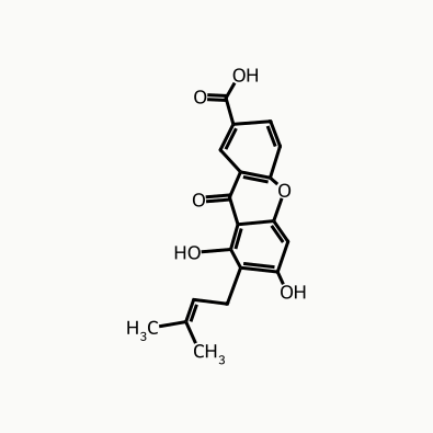 CC(C)=CCc1c(O)cc2oc3ccc(C(=O)O)cc3c(=O)c2c1O